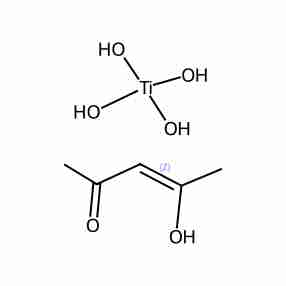 CC(=O)/C=C(/C)O.[OH][Ti]([OH])([OH])[OH]